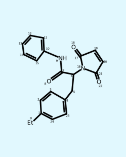 CCc1ccc(CC(C(=O)Nc2ccccc2)N2C(=O)C=CC2=O)cc1